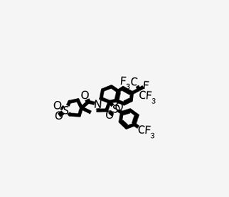 CC1(C(=O)N2CCC3(S(=O)(=O)c4ccc(C(F)(F)F)cc4)c4ccc(C(F)(C(F)(F)F)C(F)(F)F)cc4CCC23)CCS(=O)(=O)CC1